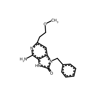 COCCc1cc2c([nH]c(=O)n2Cc2ccccc2)c(N)n1